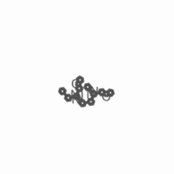 c1ccc(-c2cccc(-c3nc(-c4cccc(-c5cccc(-c6cc(-c7ccc8c(c7)oc7ccccc78)nc(-c7ccccc7)n6)c5)c4)nc(-c4ccc5c(c4)oc4ccccc45)n3)c2)cc1